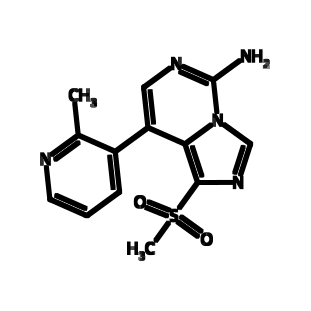 Cc1ncccc1-c1cnc(N)n2cnc(S(C)(=O)=O)c12